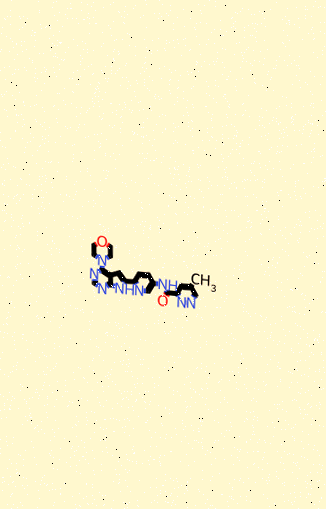 Cc1cnnc(C(=O)Nc2ccc(-c3cc4c(N5CCOCC5)ncnc4[nH]3)nc2)c1